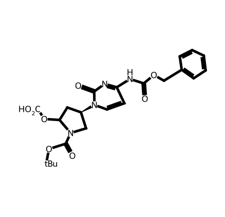 CC(C)(C)OC(=O)N1C[C@H](n2ccc(NC(=O)OCc3ccccc3)nc2=O)CC1OC(=O)O